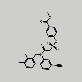 COC(=O)c1ccc(OS(=O)(=O)CC(=O)N(Cc2cccc(I)c2I)c2cccc(C#N)c2)cc1